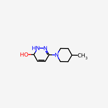 CC1CCN(C2=NNC(O)C=C2)CC1